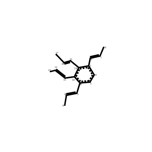 CC=Cc1[c]cc(C=CC)c(C=CC)c1C=CC